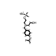 CC(C)(C)[Si](C)(C)OCCN(CCO)Cc1ccc(OC(F)F)cc1